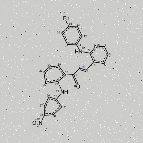 O=C(/C=C/c1cccnc1Nc1ccc(F)cc1)c1ccccc1Nc1ccc([N+](=O)[O-])cc1